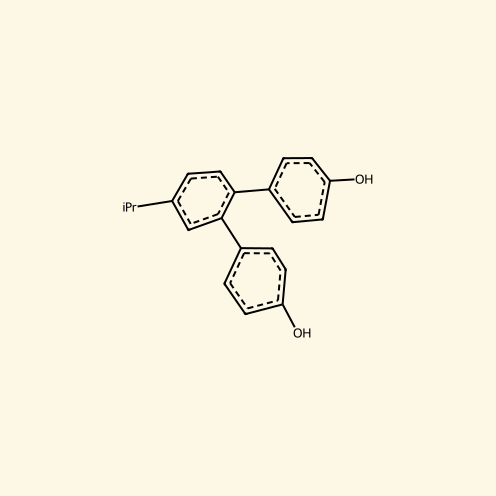 CC(C)c1ccc(-c2ccc(O)cc2)c(-c2ccc(O)cc2)c1